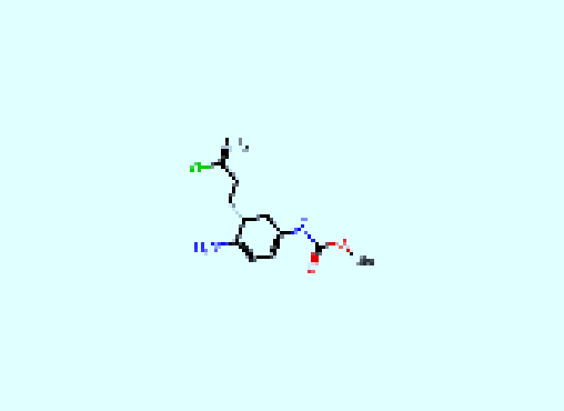 C=C(Cl)CC[C@@H]1CC(NC(=O)OC(C)(C)C)=CC=C1N